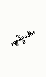 N#Cc1ccc2c3ccc(-c4ccc(-c5ccc6c(-c7ccc8ccccc8c7)c7cc(-c8ccc9c%10ccc(C#N)cc%10n(-c%10ccccc%10)c9c8)ccc7c(-c7ccc8ccccc8c7)c6c5)cc4)cc3n(-c3ccccc3)c2c1